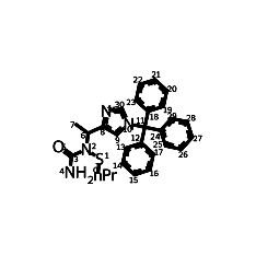 CCCSN(C(N)=O)C(C)c1cn(C(c2ccccc2)(c2ccccc2)c2ccccc2)cn1